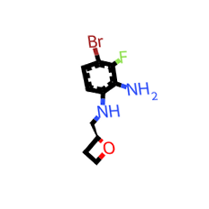 Nc1c(NC[C@@H]2CCO2)ccc(Br)c1F